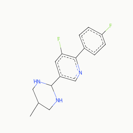 CC1CNC(c2cnc(-c3ccc(F)cc3)c(F)c2)NC1